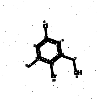 Cc1cc(Cl)nc(CO)c1Br